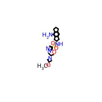 COC1CN(C2COc3c(S(=O)(=O)NC4Cc5cc6c(c(N)c5C4)CCC6)cnn3C2)C1